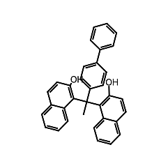 CC(c1ccc(-c2ccccc2)cc1)(c1c(O)ccc2ccccc12)c1c(O)ccc2ccccc12